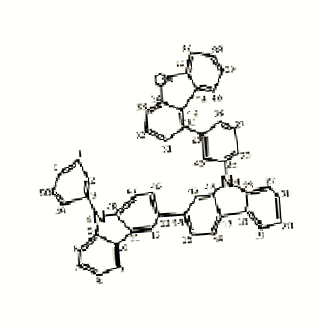 c1ccc(-n2c3ccccc3c3cc(-c4ccc5c6ccccc6n(-c6cccc(-c7cccc8oc9ccccc9c78)c6)c5c4)ccc32)cc1